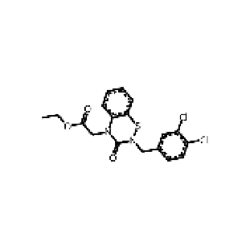 CCOC(=O)CN1C(=O)N(Cc2ccc(Cl)c(Cl)c2)Sc2ccccc21